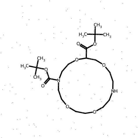 CC(C)(C)OC(=O)C1COCCNCCOCCOCCN(C(=O)OC(C)(C)C)CCO1